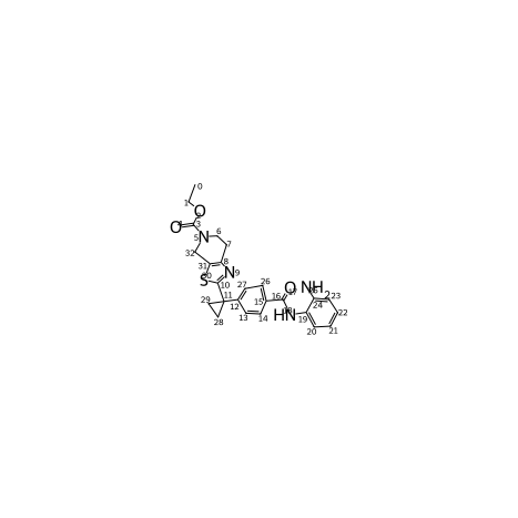 CCOC(=O)N1CCc2nc(C3(c4ccc(C(=O)Nc5ccccc5N)cc4)CC3)sc2C1